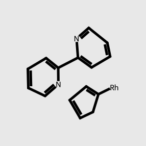 [Rh][C]1=CC=CC1.c1ccc(-c2ccccn2)nc1